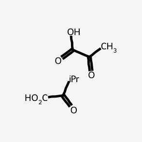 CC(=O)C(=O)O.CC(C)C(=O)C(=O)O